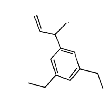 [CH2]C(C=C)c1cc(CC)cc(CC)c1